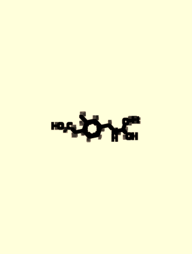 CCOC(O)NCc1ccc(CC(=O)O)c(C)c1